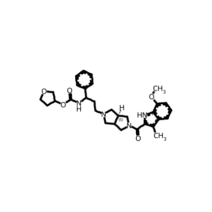 COc1cccc2c(C)c(C(=O)N3CC4CN(CCC(NC(=O)OC5CCOC5)c5ccccc5)C[C@H]4C3)[nH]c12